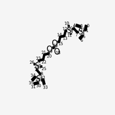 C=C[Si](C=C)(C=C)CC[Si](C)(C)CCCCOC(=O)OCCCC[Si](C)(C)CC[Si](C=C)(C=C)C=C